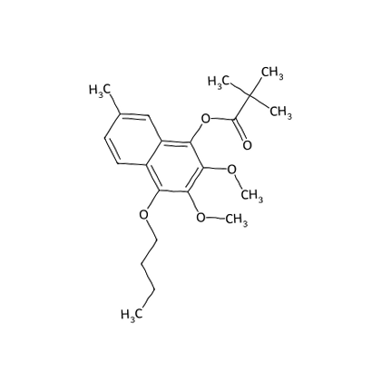 CCCCOc1c(OC)c(OC)c(OC(=O)C(C)(C)C)c2cc(C)ccc12